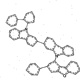 c1ccc(-c2cc(-n3c4ccccc4c4ccc(-c5ccc6c7ccccc7n(-c7ccccc7-c7ccccc7)c6c5)cc43)c3c(c2)oc2ccccc23)cc1